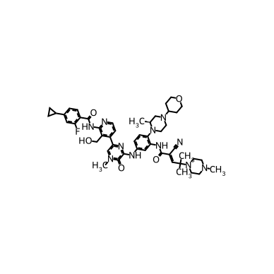 C[C@H]1CN(C2CCOCC2)CCN1c1ccc(Nc2nc(-c3ccnc(NC(=O)c4ccc(C5CC5)cc4F)c3CO)cn(C)c2=O)cc1NC(=O)/C(C#N)=C/C(C)(C)N1CCN(C)CC1